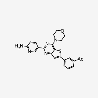 CC(=O)c1cccc(-c2cc3nc(-c4ccc(N)nc4)nc(N4CCOCC4)c3s2)c1